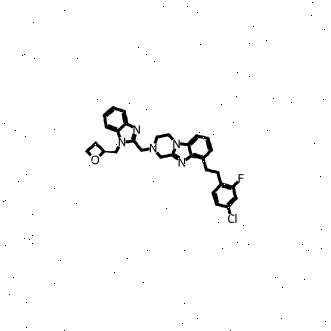 Fc1cc(Cl)ccc1CCc1cccc2c1nc1n2CCN(Cc2nc3ccccc3n2C[C@@H]2CCO2)C1